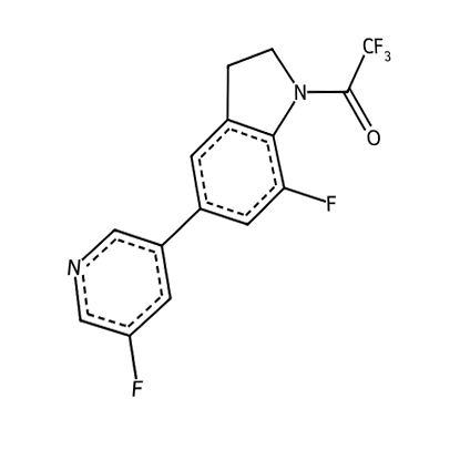 O=C(N1CCc2cc(-c3cncc(F)c3)cc(F)c21)C(F)(F)F